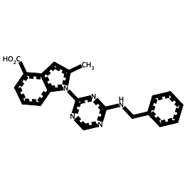 Cc1cc2c(C(=O)O)cccc2n1-c1ncnc(NCc2ccccc2)n1